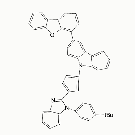 CC(C)(C)c1ccc(-n2c(-c3ccc(-n4c5ccccc5c5cc(-c6cccc7c6oc6ccccc67)ccc54)cc3)nc3ccccc32)cc1